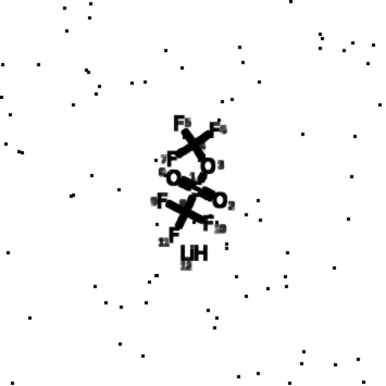 O=S(=O)(OC(F)(F)F)C(F)(F)F.[LiH]